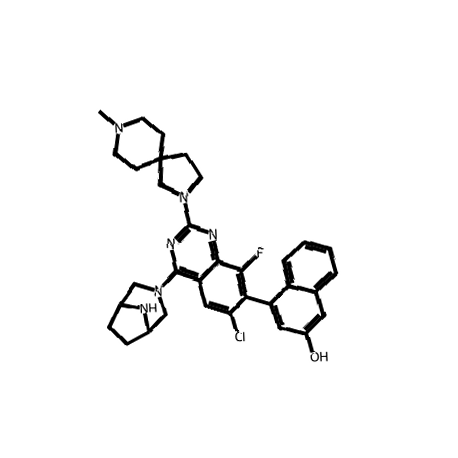 CN1CCC2(CC1)CCN(c1nc(N3CC4CCC(C3)N4)c3cc(Cl)c(-c4cc(O)cc5ccccc45)c(F)c3n1)C2